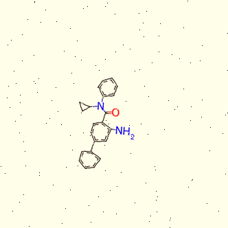 Nc1cc(-c2ccccc2)ccc1C(=O)N(c1ccccc1)C1CC1